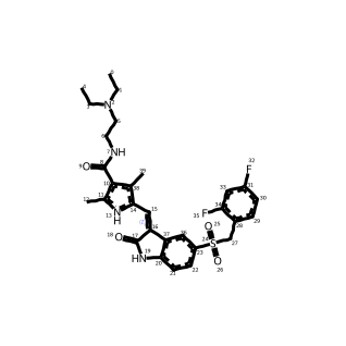 CCN(CC)CCNC(=O)c1c(C)[nH]c(/C=C2\C(=O)Nc3ccc(S(=O)(=O)Cc4ccc(F)cc4F)cc32)c1C